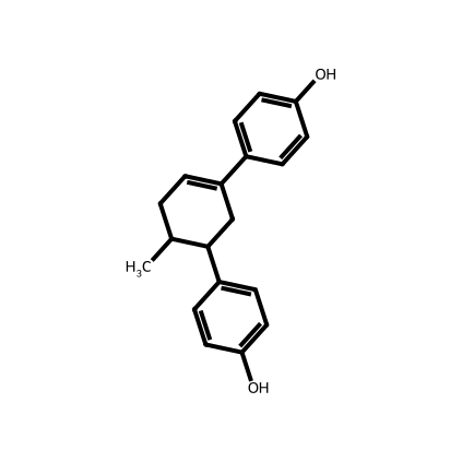 CC1CC=C(c2ccc(O)cc2)CC1c1ccc(O)cc1